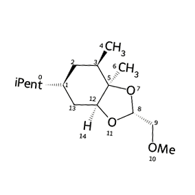 CCC[C@@H](C)[C@H]1C[C@@H](C)[C@@]2(C)O[C@H](COC)O[C@H]2C1